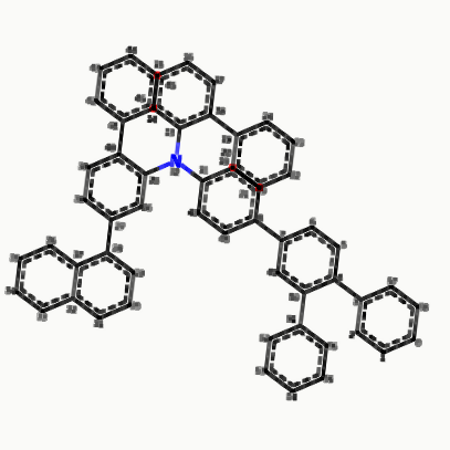 c1ccc(-c2ccc(-c3ccc(N(c4ccccc4-c4ccccc4)c4cc(-c5cccc6ccccc56)ccc4-c4ccccc4)cc3)cc2-c2ccccc2)cc1